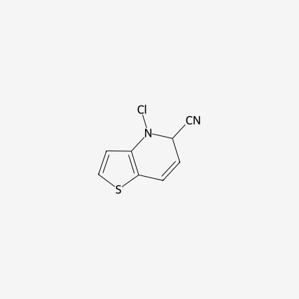 N#CC1C=Cc2sccc2N1Cl